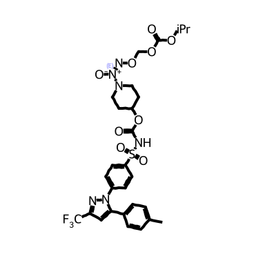 Cc1ccc(-c2cc(C(F)(F)F)nn2-c2ccc(S(=O)(=O)NC(=O)OC3CCN(/[N+]([O-])=N\OCOC(=O)OC(C)C)CC3)cc2)cc1